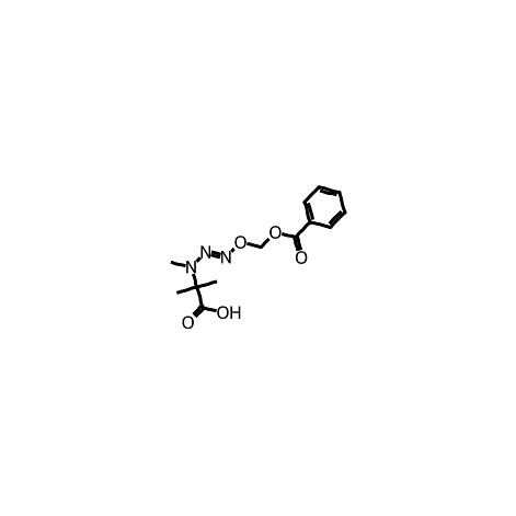 CN(N=NOCOC(=O)c1ccccc1)C(C)(C)C(=O)O